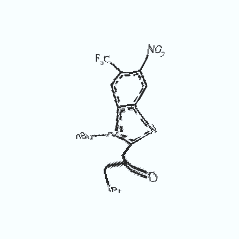 CCCCn1c(C(=O)CC(C)C)nc2cc([N+](=O)[O-])c(C(F)(F)F)cc21